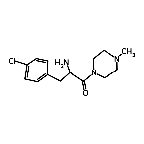 CN1CCN(C(=O)C(N)Cc2ccc(Cl)cc2)CC1